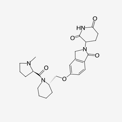 CN1CCC[C@@H]1C(=O)N1CCCC[C@H]1COc1ccc2c(c1)CN(C1CCC(=O)NC1=O)C2=O